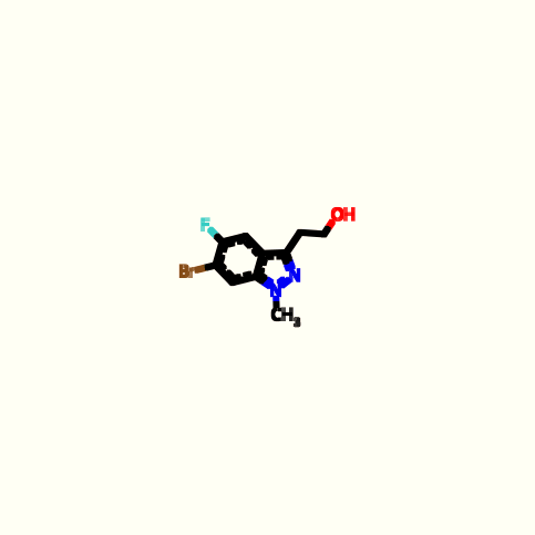 Cn1nc(CCO)c2cc(F)c(Br)cc21